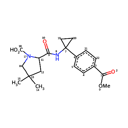 COC(=O)c1ccc(C2(NC(=O)C3CC(C)(C)CN3C(=O)O)CC2)cc1